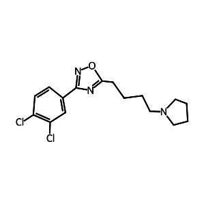 Clc1ccc(-c2noc(CCCCN3CCCC3)n2)cc1Cl